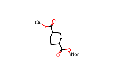 CCCCCCCCCOC(=O)C1CCC(C(=O)OC(C)(C)C)CC1